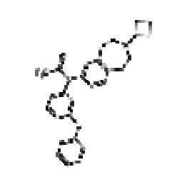 O=C(N(c1cccc(Oc2ccccc2)c1)c1ccc2c(c1)CCN(C1CCC1)CC2)C(F)(F)F